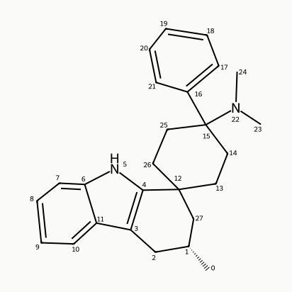 C[C@@H]1Cc2c([nH]c3ccccc23)C2(CCC(c3ccccc3)(N(C)C)CC2)C1